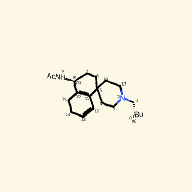 CC[C@@H](C)CN1CCC2(CC[C@H](NC(C)=O)C3=C2C=CCC3)CC1